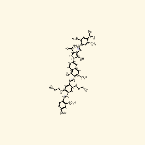 COc1ccc(/N=N/c2cc(OCCO)c(/N=N/c3c(S(=O)(=O)O)cc4cc(-n5nc(C(N)=O)c(/N=N/c6cc(C)c(S(=O)O)cc6OC)c5O)ccc4c3O)cc2OCCO)c(S(=O)(=O)O)c1